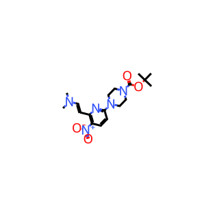 CN(C)C=Cc1nc(N2CCN(C(=O)OC(C)(C)C)CC2)ccc1[N+](=O)[O-]